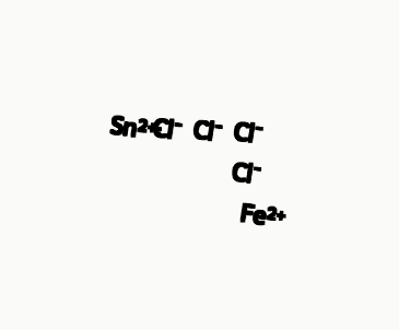 [Cl-].[Cl-].[Cl-].[Cl-].[Fe+2].[Sn+2]